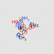 CCC(CC)OC(=O)OCCOC(=O)C1=C(/C=C\c2cccnc2C)CS[C@H]2[C@H](NC(=O)C(=NO)c3csc(N)n3)C(=O)N12